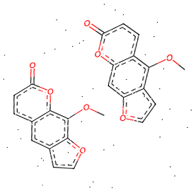 COc1c2ccoc2cc2oc(=O)ccc12.COc1c2occc2cc2ccc(=O)oc12